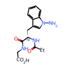 CCC(=O)N[C@@H](Cc1cn(N)c2ccccc12)C(=O)NCC(=O)O